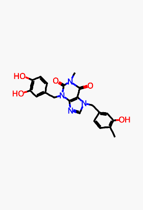 Cc1ccc(Cn2cnc3c2c(=O)n(C)c(=O)n3Cc2ccc(O)c(O)c2)cc1O